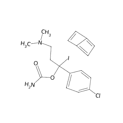 CN(C)CCC(I)(OC(N)=O)c1ccc(Cl)cc1.c1cc2ccc1-2